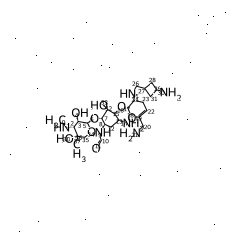 CN[C@@H]1[C@@H](O)[C@@H](O[C@H]2[C@H](NC=O)C[C@H](N)C(O[C@H]3OC(CN)=CC[C@H]3NCC3CC(N)C3)[C@@H]2O)OC[C@]1(C)O